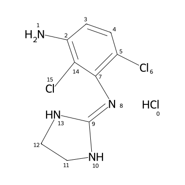 Cl.Nc1ccc(Cl)c(N=C2NCCN2)c1Cl